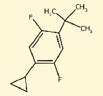 CC(C)(C)c1cc(F)c(C2CC2)cc1F